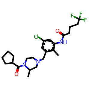 Cc1c(CN2CCN(C(=O)C3CCCC3)C(C)C2)cc(Cl)cc1NC(=O)CCCC(F)(F)F